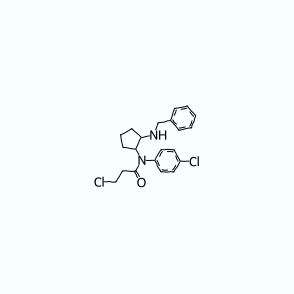 O=C(CCCl)N(c1ccc(Cl)cc1)C1CCCC1NCc1ccccc1